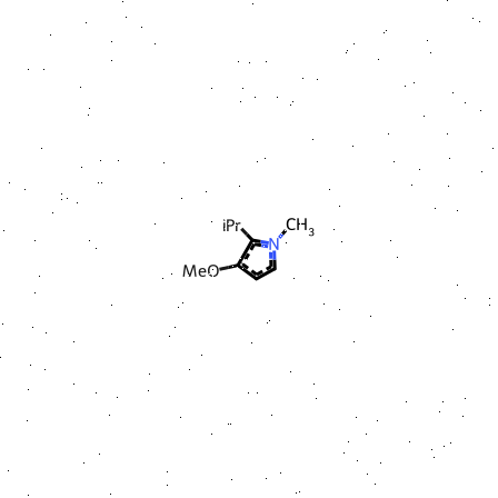 COc1ccn(C)c1C(C)C